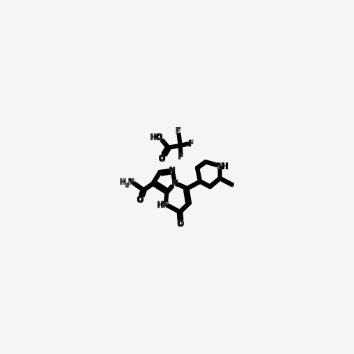 CC1CC(c2cc(=O)[nH]c3c(C(N)=O)cnn23)CCN1.O=C(O)C(F)(F)F